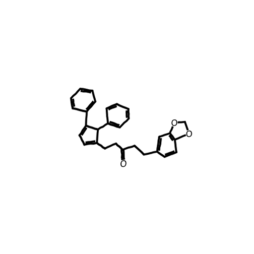 O=C(CCC1=CC=C(c2ccccc2)C1c1ccccc1)CCc1ccc2c(c1)OCO2